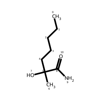 CCCCCC(C)(O)C(N)=O